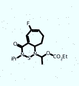 CCOC(=O)OC(C)N1SN(C(C)C)C(=O)C2=CC(F)=CCCC21